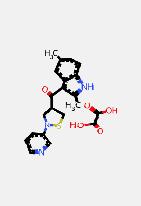 Cc1ccc2[nH]c(C)c(C(=O)C3CSN(c4cccnc4)C3)c2c1.O=C(O)C(=O)O